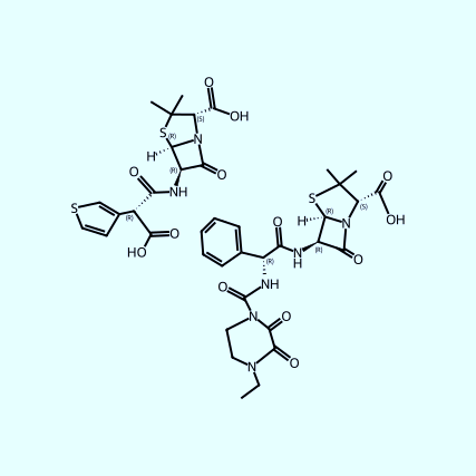 CC1(C)S[C@@H]2[C@H](NC(=O)[C@H](C(=O)O)c3ccsc3)C(=O)N2[C@H]1C(=O)O.CCN1CCN(C(=O)N[C@@H](C(=O)N[C@@H]2C(=O)N3[C@@H]2SC(C)(C)[C@@H]3C(=O)O)c2ccccc2)C(=O)C1=O